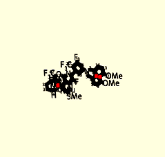 COc1ccc(CN(Cc2ccc(OC)cc2)c2cc(F)c(C(F)(F)F)c(-c3nc4c5c(nc(SC)nc5c3F)N3C[C@H]5CC[C@@H]([C@H]3[C@H](C(F)(F)F)O4)N5C(=O)OC(C)(C)C)c2)cc1